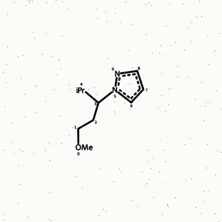 COCCC(C(C)C)n1cccn1